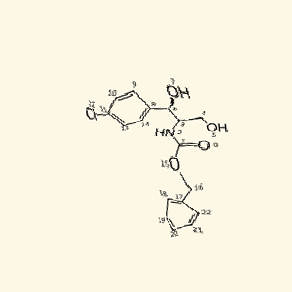 O=C(N[C@H](CO)[C@H](O)c1ccc(Cl)cc1)OCc1ccccc1